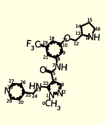 Cn1ncc(C(=O)Nc2cc(OCC3CCCN3)cc(C(F)(F)F)c2)c1NCc1ccncc1